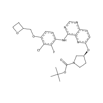 CC(C)(C)OC(=O)N1CC[C@H](Oc2ccc3ncnc(Nc4ccc(OCC5CCO5)c(Cl)c4F)c3n2)C1